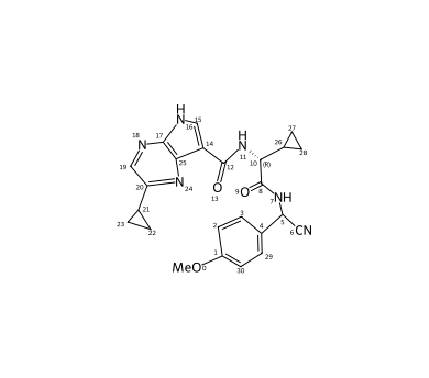 COc1ccc(C(C#N)NC(=O)[C@H](NC(=O)c2c[nH]c3ncc(C4CC4)nc23)C2CC2)cc1